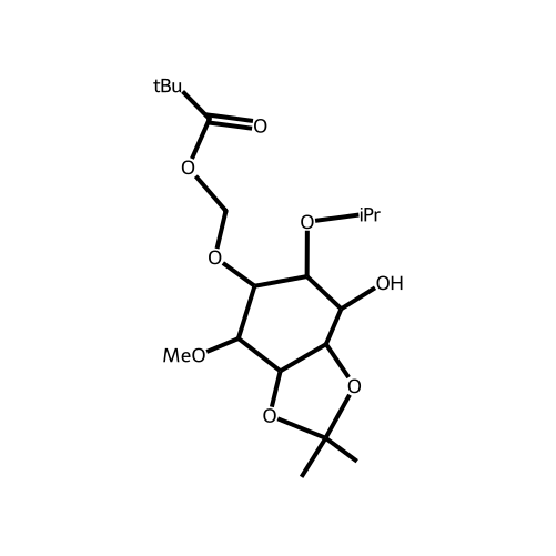 COC1C(OCOC(=O)C(C)(C)C)C(OC(C)C)C(O)C2OC(C)(C)OC21